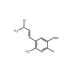 CCN(C)/C=N/c1cc(OC)c(F)nc1C